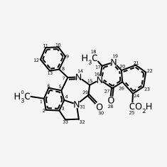 Cc1cc2c3c(c1)C(c1ccccc1)=NC(n1c(C)nc4cccc(C(=O)O)c4c1=O)C(=O)N3CC2